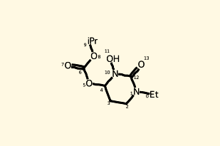 CCN1CCC(OC(=O)OC(C)C)N(O)C1=O